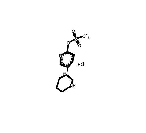 Cl.O=S(=O)(Oc1ccc([C@@H]2CCCNC2)cn1)C(F)(F)F